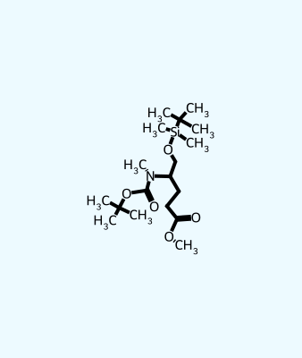 COC(=O)CCC(CO[Si](C)(C)C(C)(C)C)N(C)C(=O)OC(C)(C)C